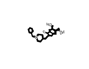 O=C1/C(=C\C2CCN(Cc3ccccc3)CC2)Cc2cc(CO)c(CO)cc21